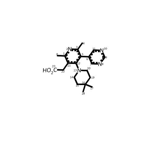 Cc1nc(C)c(-c2cncnc2)c(N2CCC(C)(C)CC2)c1CC(=O)O